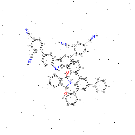 N#Cc1ccc(-c2ccc3c(c2)c2cc(-c4ccc(C#N)cc4C#N)ccc2n3-c2cccc3c2C(=O)N(c2c(-c4ccccc4)cc(-c4ccccc4)cc2-c2ccccc2)C3=O)c(C#N)c1